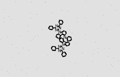 c1ccc(-c2nc(-c3ccccc3)nc(-n3c4ccccc4c4c(N(c5ccccc5)c5cccc6c5c5ccccc5n6-c5nc(-c6ccccc6)nc(-c6ccccc6)n5)cccc43)n2)cc1